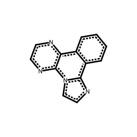 c1ccc2c(c1)c1nccnc1n1ccnc21